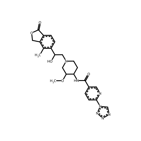 COC1CN(CC(O)c2ccc3c(c2C)COC3=O)CCC1NC(=O)c1ccc(-n2cnnn2)nc1